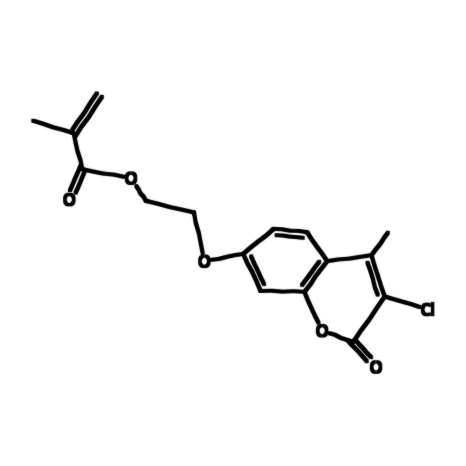 C=C(C)C(=O)OCCOc1ccc2c(C)c(Cl)c(=O)oc2c1